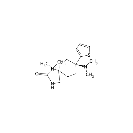 CN(C)[C@]1(c2cccs2)CC[C@]2(CC1)CNC(=O)[N+]2(C)C